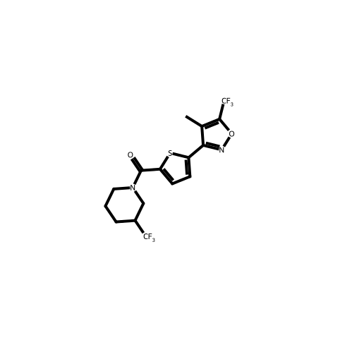 Cc1c(-c2ccc(C(=O)N3CCCC(C(F)(F)F)C3)s2)noc1C(F)(F)F